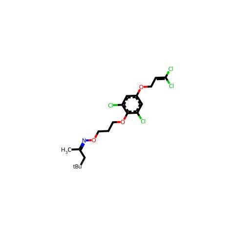 CC(CC(C)(C)C)=NOCCCOc1c(Cl)cc(OCC=C(Cl)Cl)cc1Cl